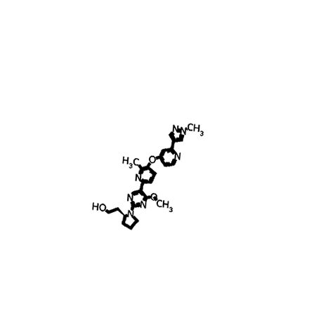 COc1nc(N2CCC[C@H]2CCO)ncc1-c1ccc(Oc2ccnc(-c3cnn(C)c3)c2)c(C)n1